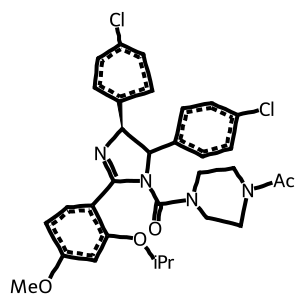 COc1ccc(C2=N[C@@H](c3ccc(Cl)cc3)C(c3ccc(Cl)cc3)N2C(=O)N2CCN(C(C)=O)CC2)c(OC(C)C)c1